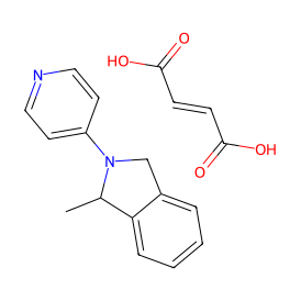 CC1c2ccccc2CN1c1ccncc1.O=C(O)C=CC(=O)O